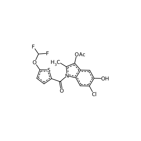 CC(=O)Oc1c(C)n(C(=O)c2ccc(OC(F)F)s2)c2cc(Cl)c(O)cc12